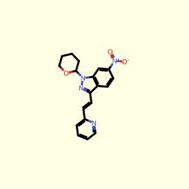 O=[N+]([O-])c1ccc2c(C=Cc3ccccn3)nn(C3CCCCO3)c2c1